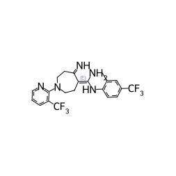 Cc1cc(C(F)(F)F)ccc1N/C(N)=C1\CCN(c2ncccc2C(F)(F)F)CCC1=N